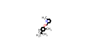 Cc1cccc(COc2ccc(C(C)(C)C)cc2C)n1